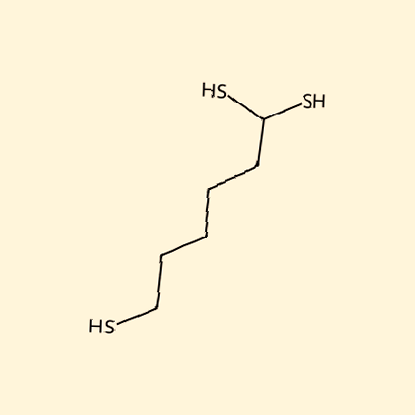 SCCCCCC(S)S